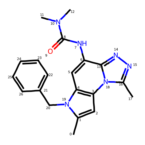 Cc1cc2c(cc(NC(=O)N(C)C)c3nnc(C)n32)n1Cc1ccccc1